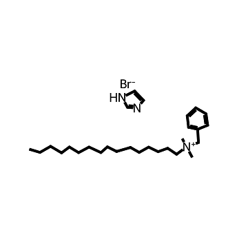 CCCCCCCCCCCCCCCC[N+](C)(C)Cc1ccccc1.[Br-].c1c[nH]cn1